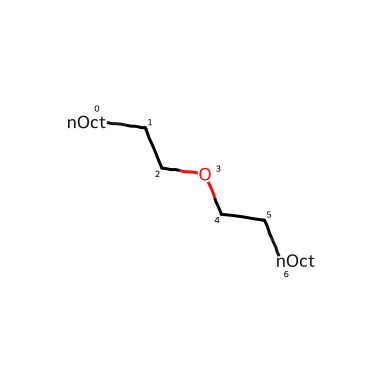 [CH2]CCCCCCCCCOCCCCCCCCCC